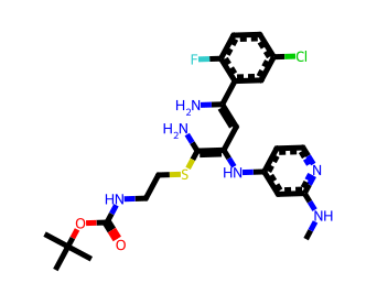 CNc1cc(NC(/C=C(\N)c2cc(Cl)ccc2F)=C(/N)SCCNC(=O)OC(C)(C)C)ccn1